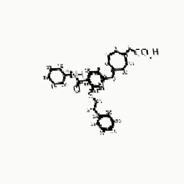 O=C(O)CC1CCCC(Cc2ccc(C(=O)NC3CCCCC3)c(SCCc3ccccc3)n2)CC1